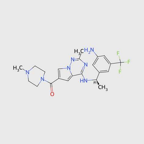 Cc1nc(N[C@H](C)c2cc(N)cc(C(F)(F)F)c2)c2cc(C(=O)N3CCN(C)CC3)cn2n1